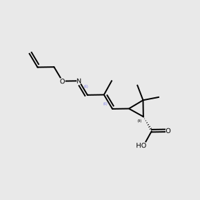 C=CCO/N=C/C(C)=C/C1[C@@H](C(=O)O)C1(C)C